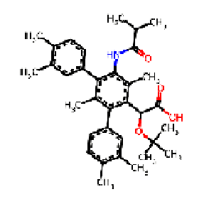 Cc1ccc(-c2c(C)c(-c3ccc(C)c(C)c3)c([C@H](OC(C)(C)C)C(=O)O)c(C)c2NC(=O)C(C)C)cc1C